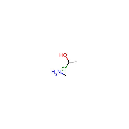 CC(O)Cl.CN